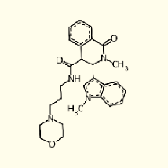 CN1C(=O)c2ccccc2C(C(=O)NCCCN2CCOCC2)C1c1cn(C)c2ccccc12